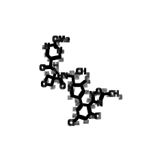 COc1ncc(C(=O)NC2(C(=O)N[C@H](C)c3ncc(-c4cc(Cl)cc(Cl)c4-c4noc(C)n4)cc3F)COC2)cn1